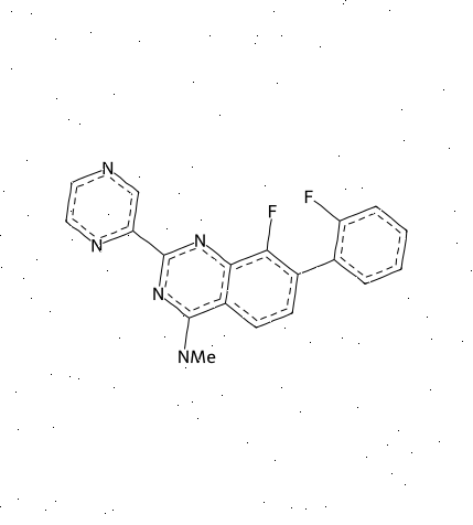 CNc1nc(-c2cnccn2)nc2c(F)c(-c3ccccc3F)ccc12